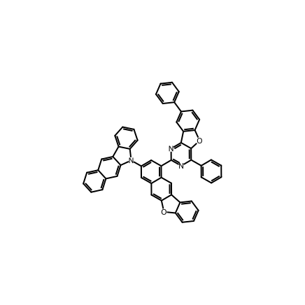 c1ccc(-c2ccc3oc4c(-c5ccccc5)nc(-c5cc(-n6c7ccccc7c7cc8ccccc8cc76)cc6cc7oc8ccccc8c7cc56)nc4c3c2)cc1